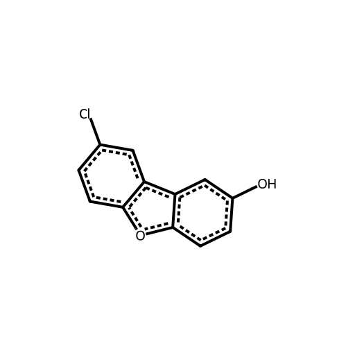 Oc1ccc2oc3ccc(Cl)cc3c2c1